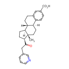 C[C@]12CC[C@@H]3c4ccc(C(=O)O)cc4CC[C@H]3[C@@H]1CC[C@@H]2C(=O)Cc1cccnc1